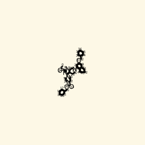 C[S@+]([O-])c1nc2c(c(N3CCN(C(=O)OCc4ccccc4)CC3)n1)CCN(c1cc(OCc3ccccc3)cc3ccccc13)C2